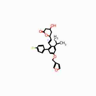 CC(C)c1cc(OCc2ccoc2)cc(-c2ccc(F)cc2)c1/C=C/C1CC(O)CC(=O)O1